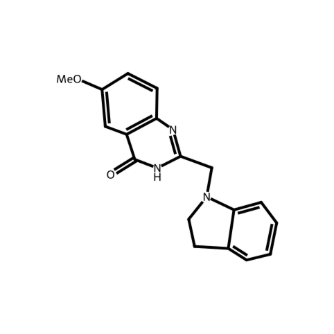 COc1ccc2nc(CN3CCc4ccccc43)[nH]c(=O)c2c1